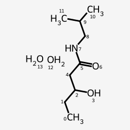 CCC(O)CC(=O)NCC(C)C.O.O